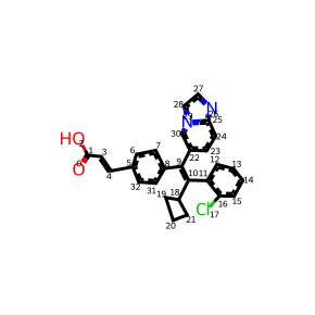 O=C(O)C=Cc1ccc(C(=C(c2ccccc2Cl)C2CCC2)c2ccc3nccn3c2)cc1